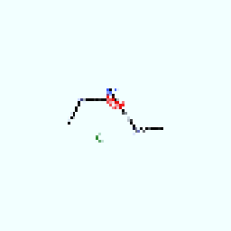 CCCCCCCC/C=C\CCCCCCCCOC(=O)CC(C[N+](C)(C)C)OCCCCCCCC/C=C\CCCCCCCC.[Cl-]